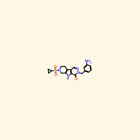 Cn1c2c(c3cnn(Cc4cccc(N)c4)c(=O)c31)CCN(S(=O)(=O)C1CC1)C2